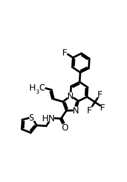 CC=Cc1c(C(=O)NCc2cccs2)nc2c(C(F)(F)F)cc(-c3cccc(F)c3)cn12